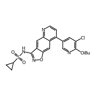 CC(C)COc1ncc(-c2ccnc3cc4c(NS(=O)(=O)C5CC5)noc4cc23)cc1Cl